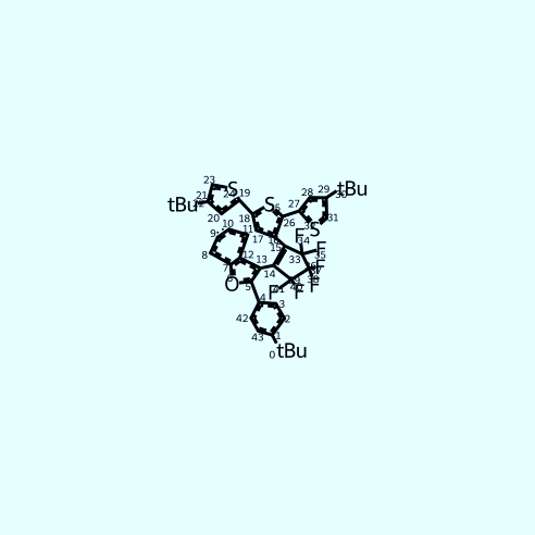 CC(C)(C)c1ccc(-c2oc3c[c][c]cc3c2C2=C(c3cc(-c4cc(C(C)(C)C)cs4)sc3-c3cc(C(C)(C)C)cs3)C(F)(F)C(F)(F)C2(F)F)cc1